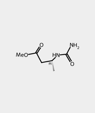 COC(=O)C[C@@H](C)NC(N)=O